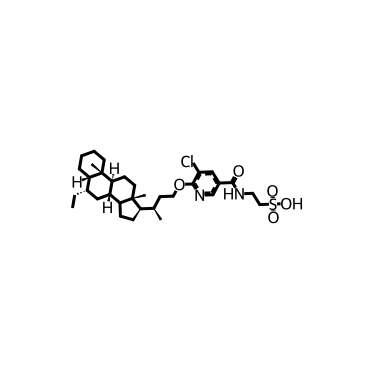 CC[C@H]1C[C@H]2C3CC[C@H]([C@H](C)CCOc4ncc(C(=O)NCCS(=O)(=O)O)cc4Cl)[C@@]3(C)CC[C@@H]2[C@@]2(C)CCCC[C@@H]12